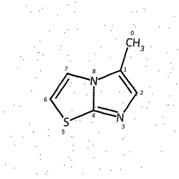 Cc1[c]nc2sccn12